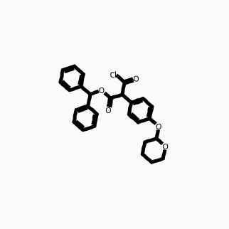 O=C(Cl)C(C(=O)OC(c1ccccc1)c1ccccc1)c1ccc(OC2CCCCO2)cc1